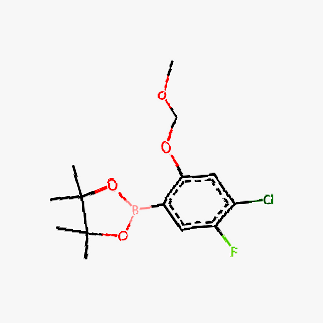 COCOc1cc(Cl)c(F)cc1B1OC(C)(C)C(C)(C)O1